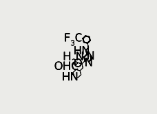 Nc1c(NCc2cccc(C(F)(F)F)c2)ncnc1C(CC1CCNCC1)OC=O